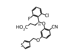 N#Cc1ccc(OCc2ccsc2)cc1O[C@@H](CCC(=O)O)c1c(F)cccc1Cl